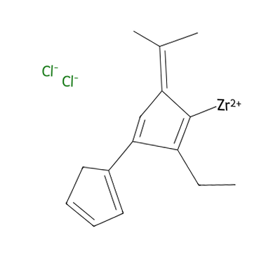 CCC1=[C]([Zr+2])C(=C(C)C)C=C1C1=CC=CC1.[Cl-].[Cl-]